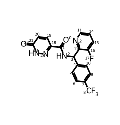 O=C(NC(c1ccc(C(F)(F)F)cc1)c1ncccc1F)c1ccc(=O)[nH]n1